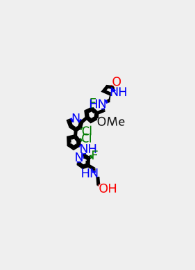 COc1cc(-c2nccc(-c3cccc(Nc4nccc(CNCCO)c4F)c3Cl)c2Cl)cc(F)c1CNC[C@H]1CCC(=O)N1